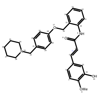 COc1ccc(/C=C/C(=O)Nc2ccccc2COc2ccc(CN3CCCCC3)cc2)cc1O